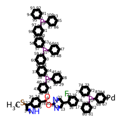 CSc1c[nH]c2cc(C(=O)Oc3ncc(-c4ccccc4F)cn3)ccc12.[Pd].c1ccc(P(c2ccccc2)c2ccccc2)cc1.c1ccc(P(c2ccccc2)c2ccccc2)cc1.c1ccc(P(c2ccccc2)c2ccccc2)cc1.c1ccc(P(c2ccccc2)c2ccccc2)cc1